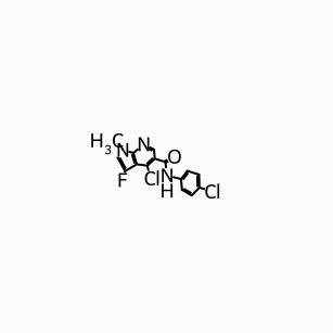 Cn1cc(F)c2c(Cl)c(C(=O)Nc3ccc(Cl)cc3)cnc21